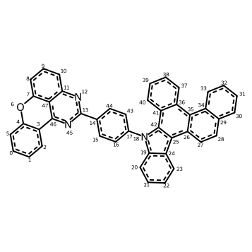 c1ccc2c(c1)Oc1cccc3nc(-c4ccc(-n5c6ccccc6c6c7ccc8ccccc8c7c7ccccc7c65)cc4)nc-2c13